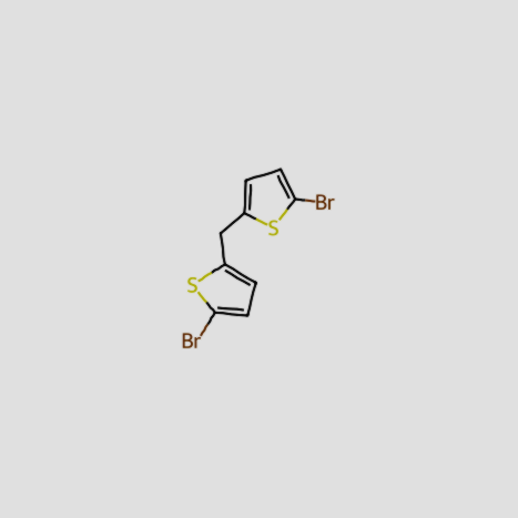 Brc1ccc(Cc2ccc(Br)s2)s1